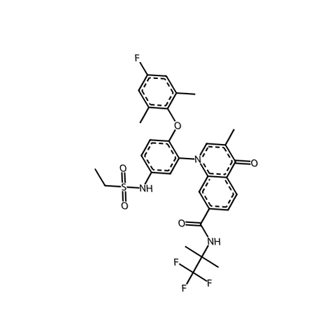 CCS(=O)(=O)Nc1ccc(Oc2c(C)cc(F)cc2C)c(-n2cc(C)c(=O)c3ccc(C(=O)NC(C)(C)C(F)(F)F)cc32)c1